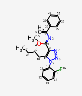 C=C(/N=C(\OC)c1nnn(-c2ccccc2F)c1CCCC)c1ccccc1